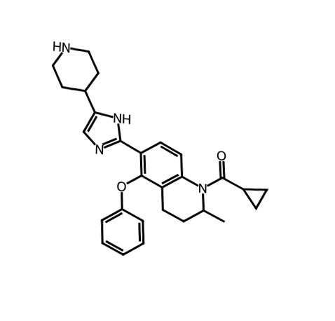 CC1CCc2c(ccc(-c3ncc(C4CCNCC4)[nH]3)c2Oc2ccccc2)N1C(=O)C1CC1